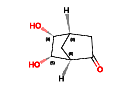 O=C1C[C@H]2C[C@@H]1[C@H](O)[C@@H]2O